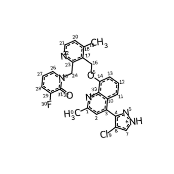 Cc1cc(-c2n[nH]cc2Cl)c2cccc(OCc3c(C)ccnc3Cn3cccc(F)c3=O)c2n1